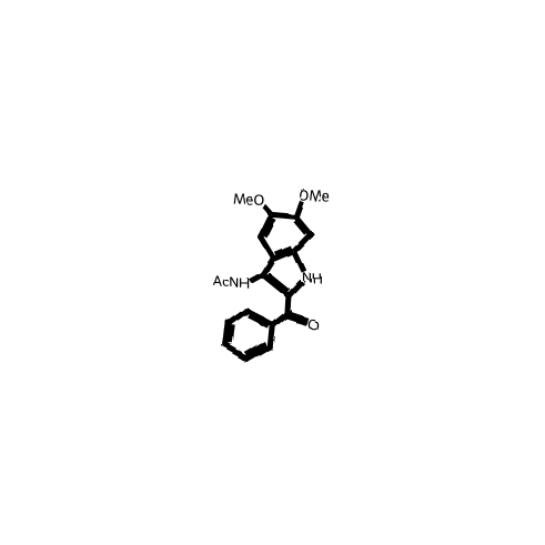 COc1cc2[nH]c(C(=O)c3ccccc3)c(NC(C)=O)c2cc1OC